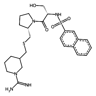 N=C(N)N1CCCC(CSC[C@@H]2CCCN2C(=O)[C@H](CO)NS(=O)(=O)c2ccc3ccccc3c2)C1